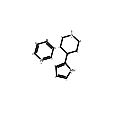 c1c[nH]c(C2CCNCC2)c1.c1ccncc1